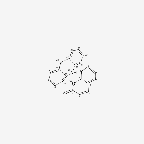 O=c1ccc2ccccc2o1.c1ccc2c(c1)Nc1ccccc1S2